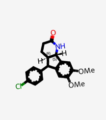 COc1cc2c(cc1OC)[C@H]1NC(=O)CC[C@@H]1C2c1ccc(Cl)cc1